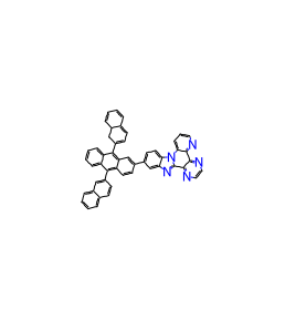 C1=CC2=CC=C(c3c4ccccc4c(-c4ccc5ccccc5c4)c4ccc(-c5ccc6c(c5)nc5c7nccnc7c7ncccc7n65)cc34)CC2C=C1